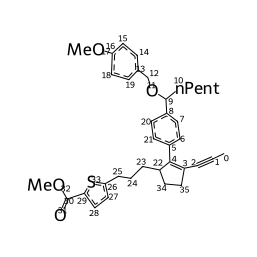 CC#CC1=C(c2ccc(C(CCCCC)OCc3ccc(OC)cc3)cc2)C(CCCc2ccc(C(=O)OC)s2)CC1